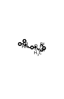 C[C@@H](Cc1cccc(C(F)(F)F)c1)NCCOC(=O)c1ccc(CCNC(=O)CC(c2ccccc2)c2ccccc2)cc1